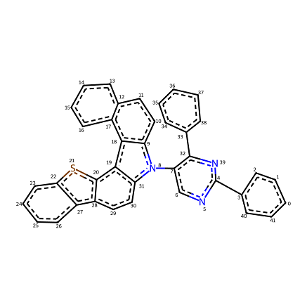 c1ccc(-c2ncc(-n3c4ccc5ccccc5c4c4c5sc6ccccc6c5ccc43)c(-c3ccccc3)n2)cc1